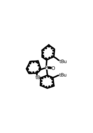 CC(C)(C)c1ccccc1P(=O)(c1ccccc1C(C)(C)C)c1ccccc1C(C)(C)C